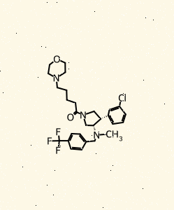 CN(Cc1ccc(C(F)(F)F)cc1)[C@@H]1CN(C(=O)CCCCN2CCOCC2)C[C@@H]1c1cccc(Cl)c1